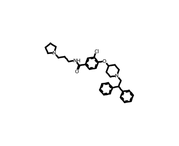 O=C(NCCCN1CCCC1)c1ccc(OC2CCN(CC(c3ccccc3)c3ccccc3)CC2)c(Cl)c1